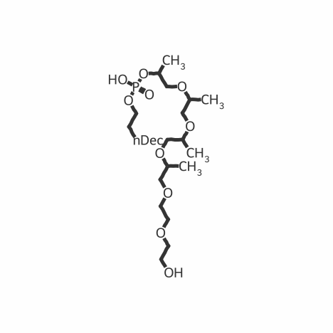 CCCCCCCCCCCCOP(=O)(O)OC(C)COC(C)COC(C)COC(C)COCCOCCO